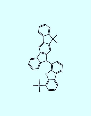 CC1(C)c2ccccc2-c2cc3c4ccccc4n(-c4cccc5c4oc4c([Si](C)(C)C)cccc45)c3cc21